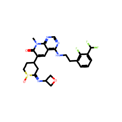 Cn1c(=O)c(C2CC[S+]([O-])C(=NC3COC3)C2)cc2c(NCCc3cccc(C(F)F)c3F)ncnc21